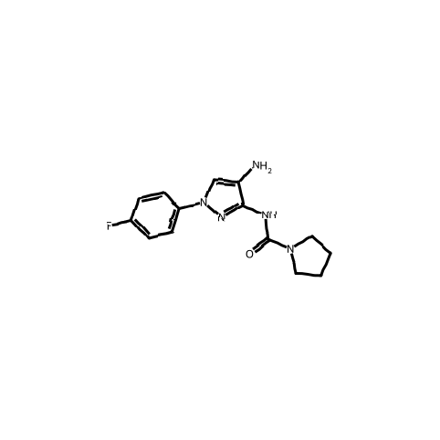 Nc1cn(-c2ccc(F)cc2)nc1NC(=O)N1CCCC1